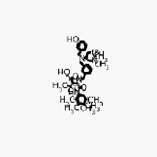 C[C@@H]1[C@@H](NC(=O)[C@@H]2[C@H]([C@H](C)O)[C@H](CO)ON2Cc2cccc(CN(Cc3cccc(O)c3)[C@H](CN(C)C)CC(C)(C)C)c2)C[C@@H](C)C(C)(C)[C@H]1C